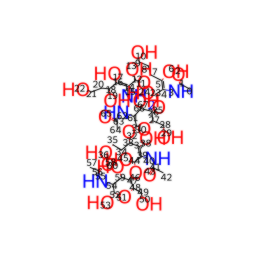 CC(=O)N/C(=C(\O)C(CCO)OC(O)/C(N)=C(\O)C(O)CCO)C(O)OC1C(CO)OC(OC(CCO)/C(O)=C(/NC(C)=O)C(O)OC2C(CO)OC(O)C(NC(C)=O)C2O)C(NC(C)=O)C1O